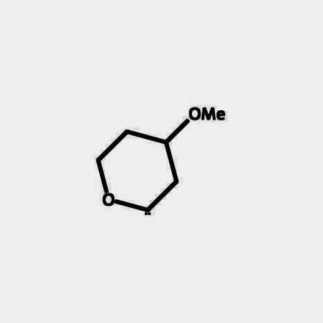 COC1C[C]OCC1